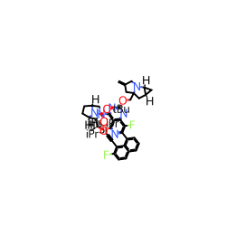 C=C1CN2[C@@H]3C[C@@H]3CC2(COc2nc3c4c(nc(-c5cccc6ccc(F)c(C#C[Si](C(C)C)(C(C)C)C(C)C)c56)c(F)c4n2)O[C@@H](C)[C@@H]2[C@@H]4CC[C@H](CN32)N4C(=O)OC(C)(C)C)C1